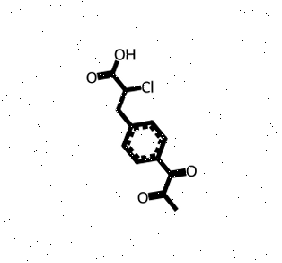 CC(=O)C(=O)c1ccc(CC(Cl)C(=O)O)cc1